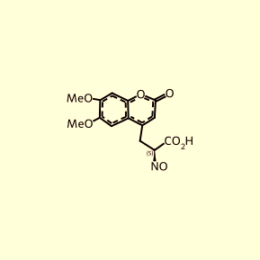 COc1cc2oc(=O)cc(C[C@H](N=O)C(=O)O)c2cc1OC